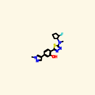 CN(c1nnc(-c2ccc(-c3cnn(C)c3)cc2O)s1)[C@H]1CCC[C@H]1F